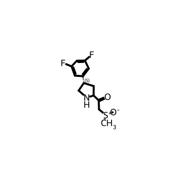 C[S+]([O-])CC(=O)C1C[C@@H](c2cc(F)cc(F)c2)CN1